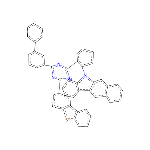 c1ccc(-c2cccc(-c3nc(-c4ccc5sc6ccccc6c5c4)nc(-c4ccccc4-n4c5ccccc5c5cc6ccccc6cc54)n3)c2)cc1